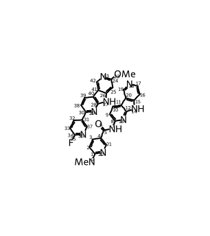 CNc1ccc(C(=O)Nc2ccc3c(n2)[nH]c2ccncc23)cn1.COc1cc2[nH]c3nc(-c4ccc(F)nc4)ccc3c2cn1